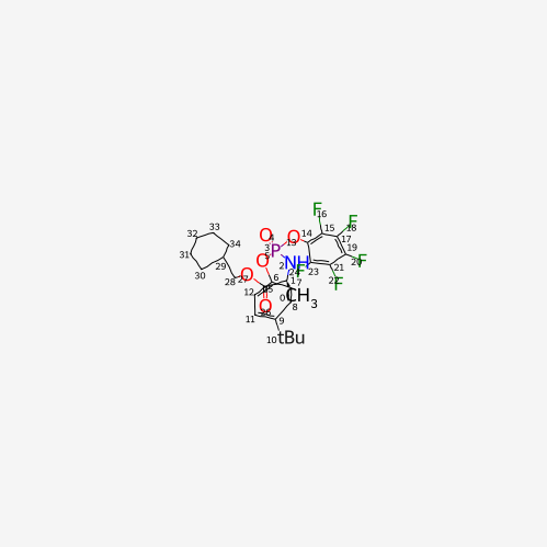 C[C@H](NP(=O)(Oc1ccc(C(C)(C)C)cc1)Oc1c(F)c(F)c(F)c(F)c1F)C(=O)OCC1CCCCC1